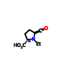 CCN1C(=C=O)CC[C@H]1C(=O)O